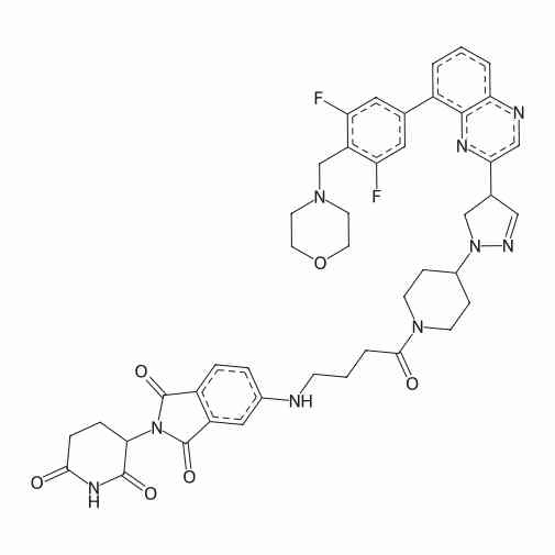 O=C1CCC(N2C(=O)c3ccc(NCCCC(=O)N4CCC(N5CC(c6cnc7cccc(-c8cc(F)c(CN9CCOCC9)c(F)c8)c7n6)C=N5)CC4)cc3C2=O)C(=O)N1